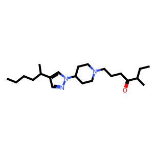 CCCCC(C)c1cnn(C2CCN(CCCC(=O)C(C)CC)CC2)c1